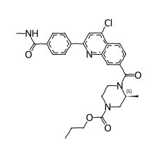 CCCOC(=O)N1CCN(C(=O)c2ccc3c(Cl)cc(-c4ccc(C(=O)NC)cc4)nc3c2)[C@@H](C)C1